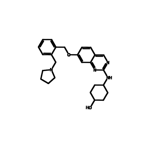 OC1CCC(Nc2ncc3ccc(OCc4ccccc4CN4CCCC4)cc3n2)CC1